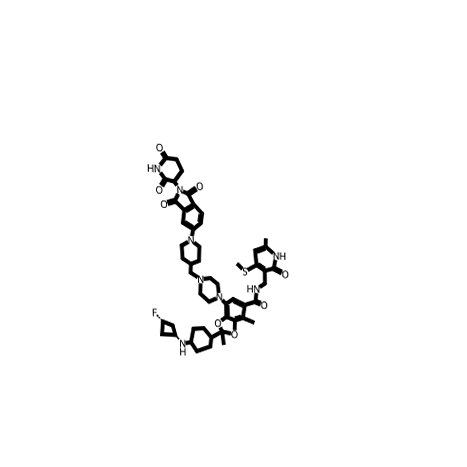 CSc1cc(C)[nH]c(=O)c1CNC(=O)c1cc(N2CCN(CC3CCN(c4ccc5c(c4)C(=O)N(C4CCC(=O)NC4=O)C5=O)CC3)CC2)c2c(c1C)OC(C)(C1CCC(N[C@H]3C[C@@H](F)C3)CC1)O2